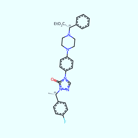 CCOC(=O)[C@H](c1ccccc1)N1CCN(c2ccc(-n3cnn([C@@H](C)c4ccc(F)cc4)c3=O)cc2)CC1